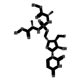 CC(C)OC(=O)[C@H](C)NP(=O)(N[C@@H](C)C(=O)OC(C)C)OC[C@H]1O[C@@H](n2ccc(=O)[nH]c2=O)[C@H](O)[C@@H]1CF